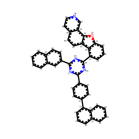 c1ccc2cc(-c3nc(-c4ccc(-c5cccc6ccccc56)cc4)nc(-c4cccc5oc6c7cnccc7ccc6c45)n3)ccc2c1